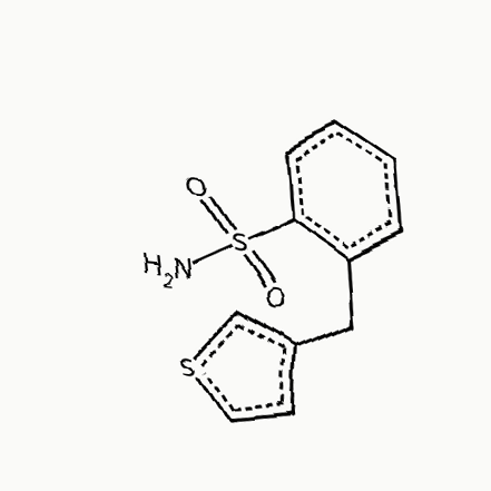 NS(=O)(=O)c1ccccc1Cc1ccsc1